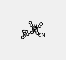 N#Cc1ccc(N(c2ccc(-c3ccc4c5c3ccc3cccc(c35)n4-c3ccccc3)cc2)c2nc(-c3ccc4ccccc4c3)nc(-c3ccc4ccccc4c3)n2)cc1